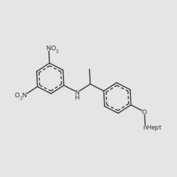 CCCCCCCOc1ccc(C(C)Nc2cc([N+](=O)[O-])cc([N+](=O)[O-])c2)cc1